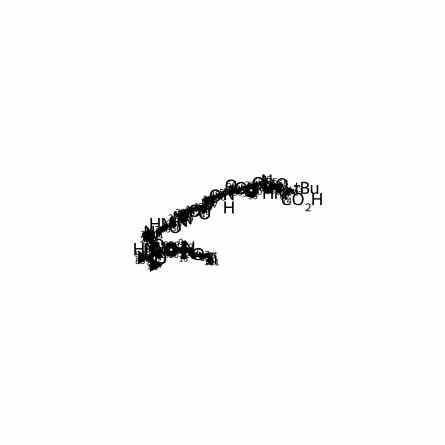 Cc1nn(COCC[Si](C)(C)C)c(C)c1-c1ccc(NC(=O)[C@@H](NC(=O)c2ccnn2CCCNC(=O)Cn2cc(COCC(=O)N3CC(OCCNC(=O)COc4cccc(Oc5ccc(C(=O)N[C@@H](CCC(C)(C)C)C(=O)O)cn5)c4)C3)nn2)C(C2CC2)C2CC2)cc1